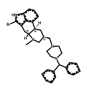 CN1C[C@H](CN2CCN(C(c3ccccc3)c3ccccc3)CC2)C[C@@H]2c3cccc4[nH]c(Br)c(c34)C[C@H]21